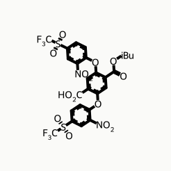 CCC(C)OC(=O)c1cc(Oc2ccc(S(=O)(=O)C(F)(F)F)cc2[N+](=O)[O-])c(C(=O)O)cc1Oc1ccc(S(=O)(=O)C(F)(F)F)cc1[N+](=O)[O-]